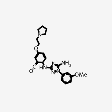 COc1cccc(-n2nc(NC3C=CC(OCCN4CCCC4)=CC3=C=O)nc2N)c1